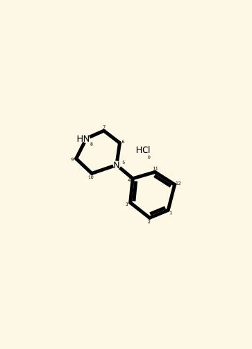 Cl.c1ccc(N2CCNCC2)cc1